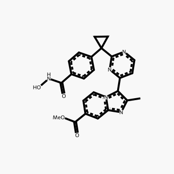 COC(=O)c1ccn2c(-c3ccnc(C4(c5ccc(C(=O)NO)cc5)CC4)n3)c(C)nc2c1